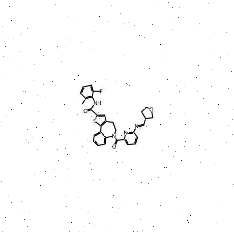 Cc1cccc(F)c1NC(=O)c1cc2c(s1)-c1ccccc1N(C(=O)c1cccc(/N=C/C3CCOC3)n1)CC2